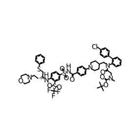 CN(CC(=O)N(CC1CCN(c2ccc(C(=O)NS(=O)(=O)c3ccc(N[C@H](CCN4CCOCC4)CSc4ccccc4)c(S(=O)(=O)C(F)(F)F)c3)cc2)CC1)c1ccccc1-c1ccc(Cl)cc1)C(=O)OC(C)(C)C